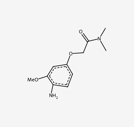 COc1cc(OCC(=O)N(C)C)ccc1N